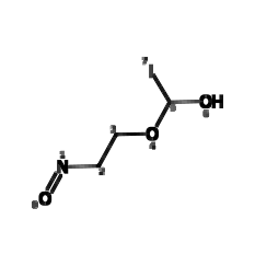 O=NCCOC(O)I